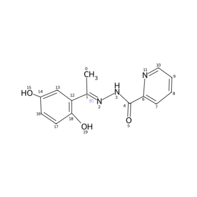 C/C(=N\NC(=O)c1ccccn1)c1cc(O)ccc1O